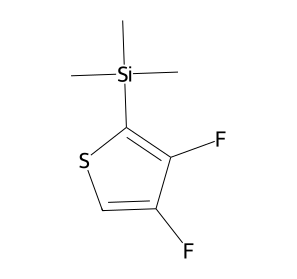 C[Si](C)(C)c1scc(F)c1F